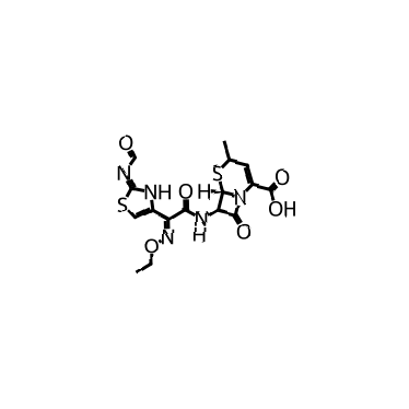 CCON=C(C(=O)NC1C(=O)N2C(C(=O)O)=CC(C)S[C@@H]12)c1csc(=NC=O)[nH]1